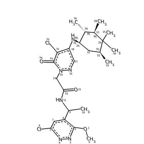 COc1nnc(Cl)cc1C(C)NC(=O)Cn1ncc(N[C@@H]2C[C@H](C)C(C)(C)[C@H](C)[C@H]2C)c(Cl)c1=O